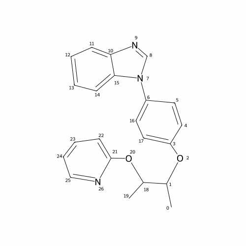 CC(Oc1ccc(-n2cnc3ccccc32)cc1)C(C)Oc1ccccn1